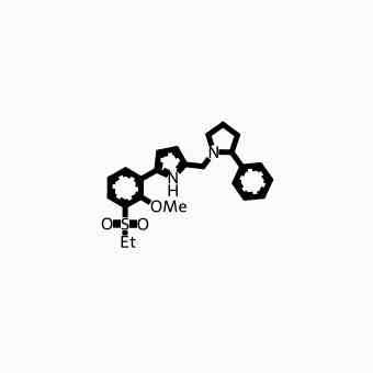 CCS(=O)(=O)c1cccc(-c2ccc(CN3CCCC3c3ccccc3)[nH]2)c1OC